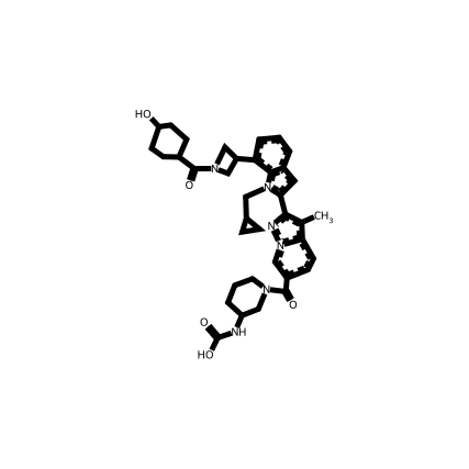 Cc1c(-c2cc3cccc(C4CN(C(=O)C5CCC(O)CC5)C4)c3n2CC2CC2)nn2cc(C(=O)N3CCCC(NC(=O)O)C3)ccc12